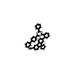 N#Cc1ccc2c(c1)-c1ccc(-c3ccccc3-c3nc(-c4ccccc4)nc(-c4ccc(-c5ccccc5)cc4)n3)cc1C21CCCC1